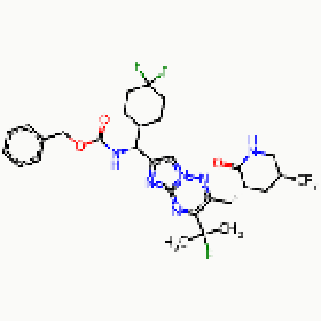 CC(C)(F)c1nc2nc([C@@H](NC(=O)OCc3ccccc3)C3CCC(F)(F)CC3)cn2nc1C[C@H]1C[C@H](C(F)(F)F)CNC1=O